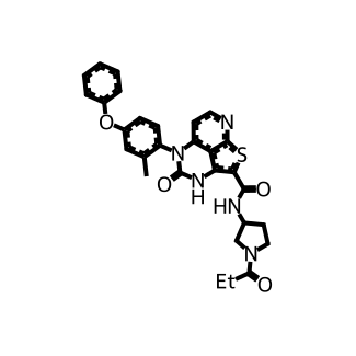 CCC(=O)N1CCC(NC(=O)c2sc3nccc4c3c2NC(=O)N4c2ccc(Oc3ccccc3)cc2C)C1